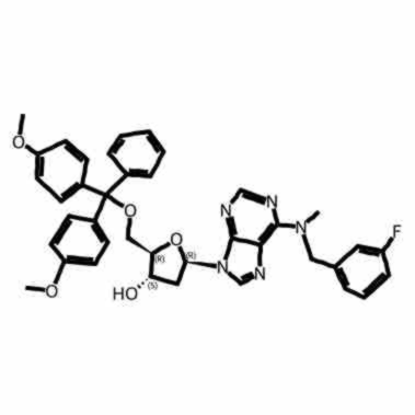 COc1ccc(C(OC[C@H]2O[C@@H](n3cnc4c(N(C)Cc5cccc(F)c5)ncnc43)C[C@@H]2O)(c2ccccc2)c2ccc(OC)cc2)cc1